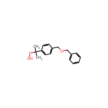 CC(C)(OO)c1ccc(COCc2ccccc2)cc1